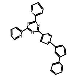 c1ccc(-c2cccc(-c3ccc(-c4nc(-c5ccccn5)nc(-c5ccccn5)n4)cc3)c2)cc1